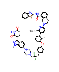 Cc1c(Oc2ccc(CC(F)(F)CN3CCN(c4ccc5c(C6CCC(=O)NC6=O)nn(C)c5c4)CC3)cc2)cccc1-c1ccc(N2CCc3cccc(C(=O)Nc4nc5ccccc5s4)c3C2)nc1C(=O)O